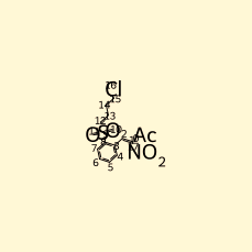 CC(=O)C(=Cc1ccccc1S(=O)(=O)CCCCCl)[N+](=O)[O-]